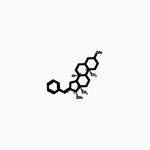 CC(=O)OC1CC[C@]2(C)C(CC[C@H]3C2CC[C@]2(C)C3C/C(=C\c3ccccc3)[C@H]2OC(C)=O)C1